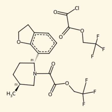 C[C@H]1CC[C@H](c2cccc3c2OCC3)N(C(=O)C(=O)OCC(F)(F)F)C1.O=C(Cl)C(=O)OCC(F)(F)F